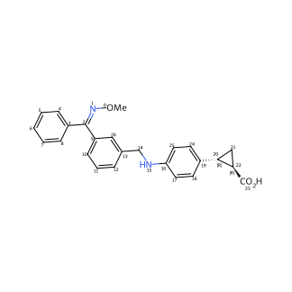 CON=C(c1ccccc1)c1cccc(CNc2ccc([C@@H]3C[C@H]3C(=O)O)cc2)c1